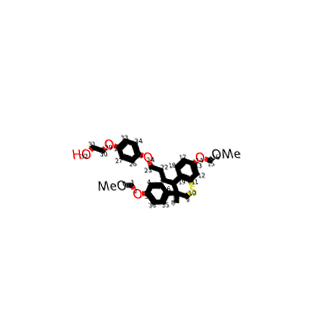 COCOc1ccc(C2(C)CSc3cc(OCOC)ccc3C2CCCOc2ccc(OCCO)cc2)cc1